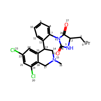 CC(C)CC1NC(=O)N(c2ccccc2C2CN(C)Cc3c(Cl)cc(Cl)cc32)C1=O